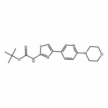 CC(C)(C)OC(=O)Nc1nc(-c2ccc(N3CCOCC3)nc2)cs1